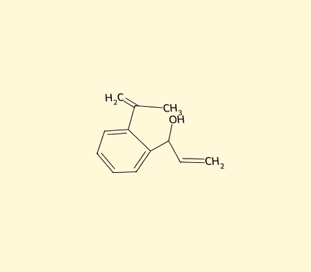 C=CC(O)c1ccccc1C(=C)C